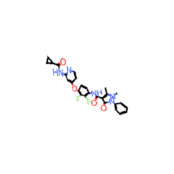 Cc1c(C(=O)Nc2ccc(Oc3ccnc(NC(=O)C4CC4)c3)c(F)c2F)c(=O)n(-c2ccccc2)n1C